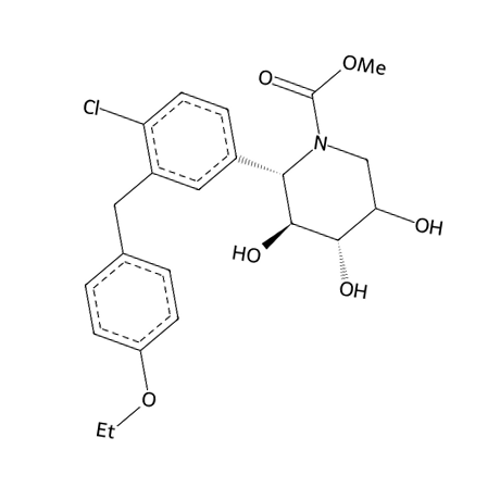 CCOc1ccc(Cc2cc([C@H]3[C@H](O)[C@@H](O)C(O)CN3C(=O)OC)ccc2Cl)cc1